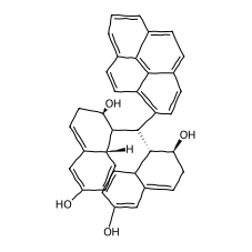 OC1=CC2=CC[C@H](O)[C@@H](C(c3ccc4ccc5cccc6ccc3c4c56)C3[C@H](O)CC=C4C=C(O)C=C[C@H]43)C2C=C1